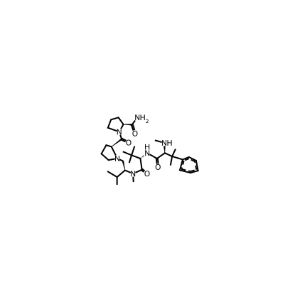 CN[C@H](C(=O)N[C@H](C(=O)N(C)[C@H](CN1CCC[C@H]1C(=O)N1CCC[C@H]1C(N)=O)C(C)C)C(C)(C)C)C(C)(C)c1ccccc1